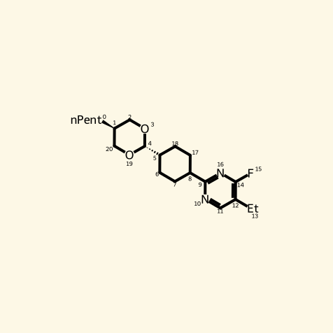 CCCCC[C@H]1CO[C@H](C2CCC(c3ncc(CC)c(F)n3)CC2)OC1